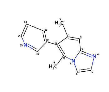 Cc1cc2nccn2c(C)c1-c1cccnc1